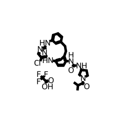 CC(C)C(=O)N1CC[C@H](NC(=O)Nc2ccc3cc2CCc2cccc(c2)Nc2ncc(Cl)c(n2)N3)C1.O=C(O)C(F)(F)F